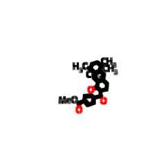 COC(=O)c1ccc(C(=O)C2CCc3cc4c(cc3C2=O)C(C)(C)CCC4(C)C)cc1